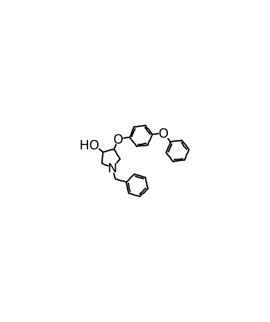 OC1CN(Cc2ccccc2)CC1Oc1ccc(Oc2ccccc2)cc1